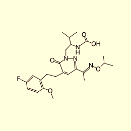 COc1ccc(F)cc1CCc1cc(/C(C)=N/OC(C)C)nn(CC(NC(=O)O)C(C)C)c1=O